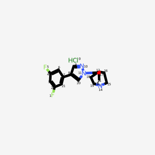 Cl.Fc1cc(F)cc(-c2cnn(C3CN4CCC3CC4)c2)c1